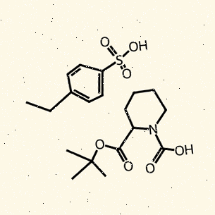 CC(C)(C)OC(=O)C1CCCCN1C(=O)O.CCc1ccc(S(=O)(=O)O)cc1